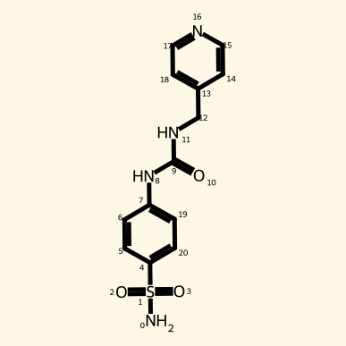 NS(=O)(=O)c1ccc(NC(=O)NCc2ccncc2)cc1